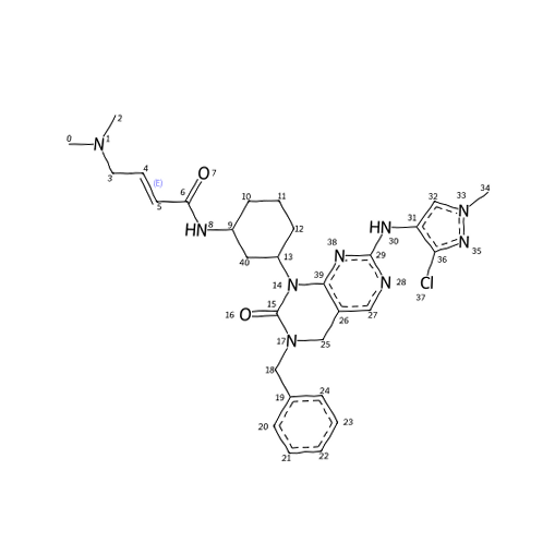 CN(C)C/C=C/C(=O)NC1CCCC(N2C(=O)N(Cc3ccccc3)Cc3cnc(Nc4cn(C)nc4Cl)nc32)C1